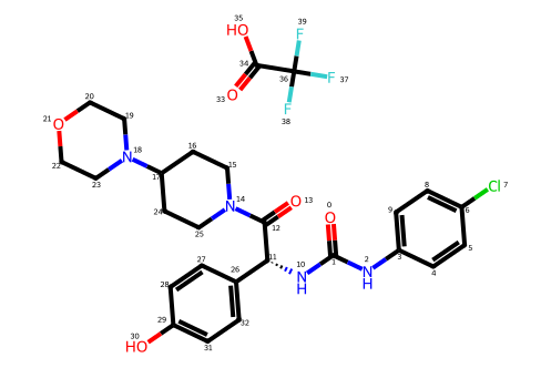 O=C(Nc1ccc(Cl)cc1)N[C@@H](C(=O)N1CCC(N2CCOCC2)CC1)c1ccc(O)cc1.O=C(O)C(F)(F)F